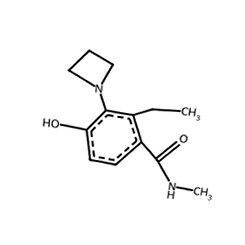 CCc1c(C(=O)NC)ccc(O)c1N1CCC1